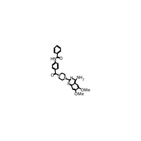 COc1cc2nc(N3CCN(C(=O)c4ccc(NC(=O)c5ccccc5)cc4)CC3)nc(N)c2cc1OC